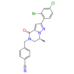 C[C@H]1CN(Cc2ccc(C#N)cc2)C(=O)c2cc(-c3ccc(Cl)cc3Br)nn21